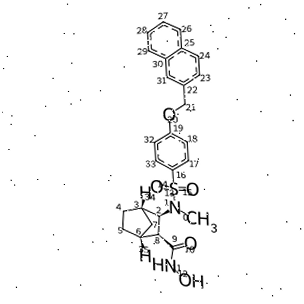 CN([C@@H]1[C@H]2CC[C@H](C2)[C@@H]1C(=O)NO)S(=O)(=O)c1ccc(OCc2ccc3ccccc3c2)cc1